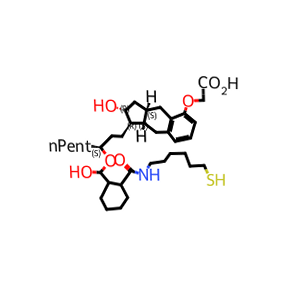 CCCCC[C@@H](CC[C@@H]1[C@H]2Cc3cccc(OCC(=O)O)c3C[C@H]2C[C@H]1O)OC(O)C1CCCCC1C(=O)NCCCCCCS